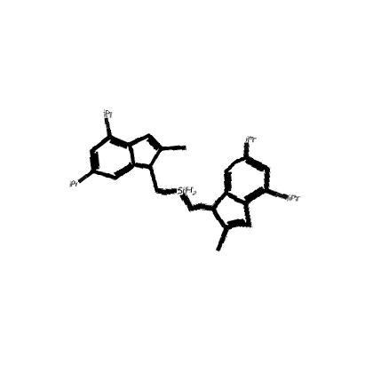 CC1=Cc2c(C(C)C)cc(C(C)C)cc2C1C[SiH2]CC1C(C)=Cc2c(C(C)C)cc(C(C)C)cc21